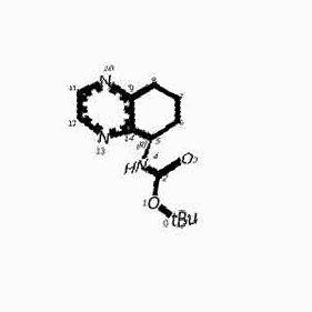 CC(C)(C)OC(=O)N[C@@H]1CCCc2nccnc21